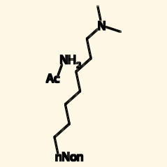 CC(N)=O.CCCCCCCCCCCCCCCCN(C)C